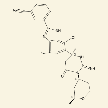 C[C@H]1C[C@@H](N2C(=N)N[C@](C)(c3cc(F)c4nc(-c5cccc(C#N)c5)[nH]c4c3Cl)CC2=O)CCO1